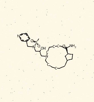 CS(=O)(=O)N(Cc1cccnc1)CC(O)CN1CCCC[CH]C[C@]2(C(N)=O)CCC(CCCCCC1)C2